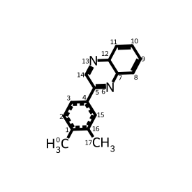 Cc1ccc(C2=NC3C=CC=CC3N=C2)cc1C